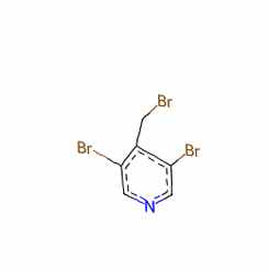 BrCc1c(Br)cncc1Br